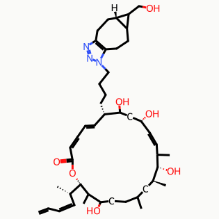 C=C/C=C\[C@H](C)[C@@H]1OC(=O)/C=C\C=C\[C@H](CCCCn2nnc3c2CCC2C(CO)[C@H]2CC3)C(O)C[C@H](O)/C=C\C(C)[C@H](O)[C@@H](C)CC(C)CCC(O)C1C